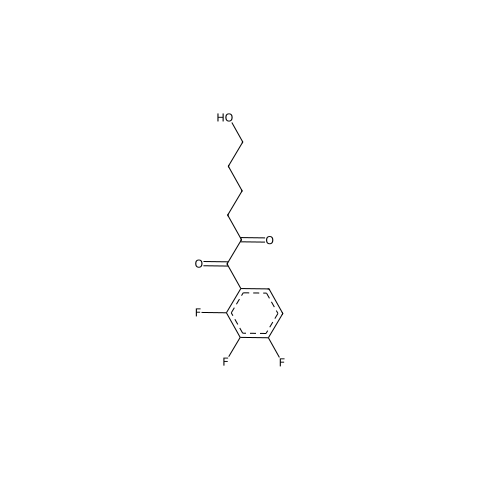 O=C(CCCCO)C(=O)c1ccc(F)c(F)c1F